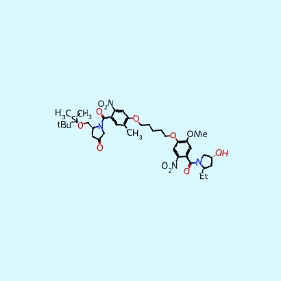 CC[C@@H]1C[C@@H](O)CN1C(=O)c1cc(OC)c(OCCCCCOc2cc([N+](=O)[O-])c(C(=O)N3CC(=O)C[C@H]3CO[Si](C)(C)C(C)(C)C)cc2C)cc1[N+](=O)[O-]